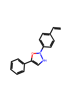 C=Cc1ccc(N2NC=C(c3ccccc3)O2)cc1